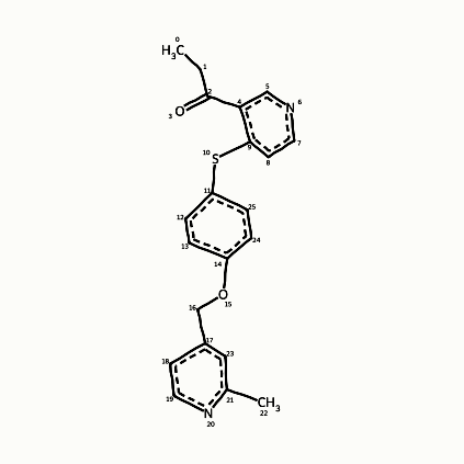 CCC(=O)c1cnccc1Sc1ccc(OCc2ccnc(C)c2)cc1